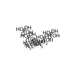 CN.CN.CN.CN.O=P(O)(O)O.O=P(O)(O)O.O=P(O)(O)O.O=P(O)(O)O